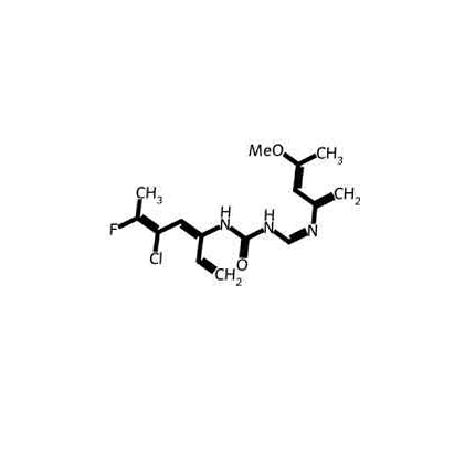 C=C/C(=C\C(Cl)=C(/C)F)NC(=O)N/C=N\C(=C)/C=C(\C)OC